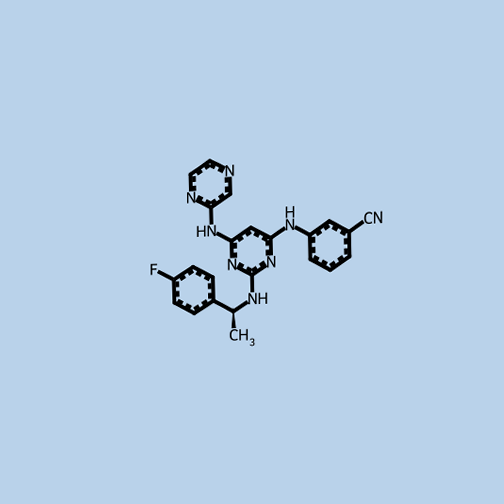 C[C@H](Nc1nc(Nc2cccc(C#N)c2)cc(Nc2cnccn2)n1)c1ccc(F)cc1